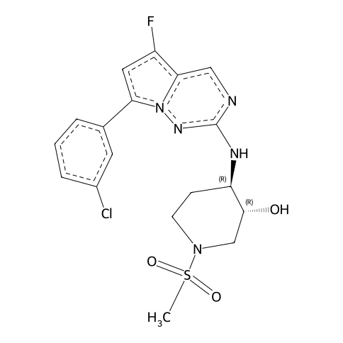 CS(=O)(=O)N1CC[C@@H](Nc2ncc3c(F)cc(-c4cccc(Cl)c4)n3n2)[C@H](O)C1